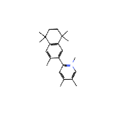 Cc1cc(-c2cc3c(cc2C)C(C)(C)CCC3(C)C)[n+](C)cc1C